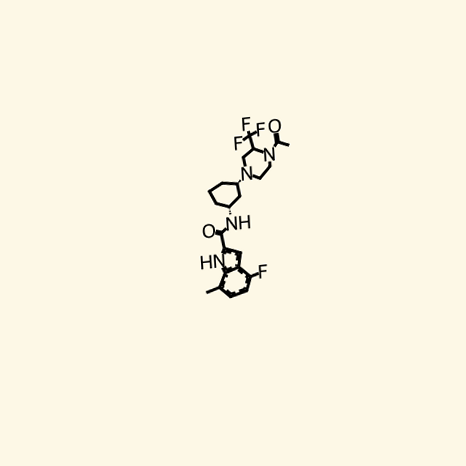 CC(=O)N1CCN([C@H]2CCC[C@@H](NC(=O)c3cc4c(F)ccc(C)c4[nH]3)C2)CC1C(F)(F)F